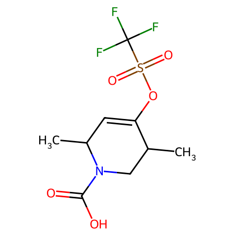 CC1CN(C(=O)O)C(C)C=C1OS(=O)(=O)C(F)(F)F